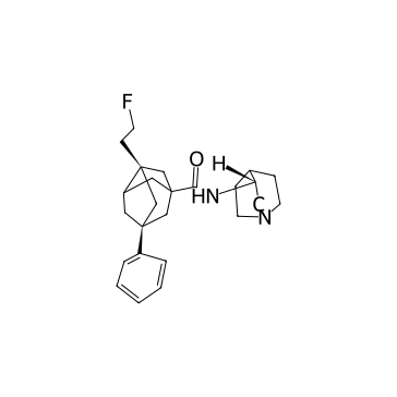 O=C(N[C@H]1CN2CCC1CC2)C12CC3C[C@@](c4ccccc4)(C1)C[C@@]3(CCF)C2